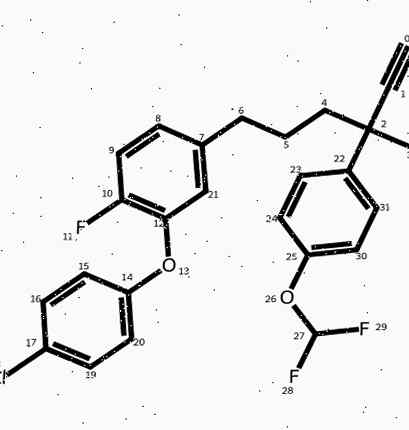 C#CC(C)(CCCc1ccc(F)c(Oc2ccc(Cl)cc2)c1)c1ccc(OC(F)F)cc1